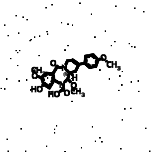 COc1ccc(C2=CCN3C(=O)c4cc(OC)c(O)cc4N(C(=O)O)C(OC)[C@@H]3C2)cc1